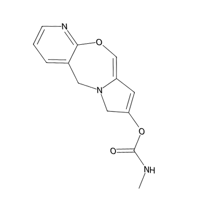 CNC(=O)OC1=CC2=COc3ncccc3CN2C1